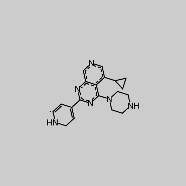 [C]1=CC(c2nc(N3CCNCC3)c3c(C4CC4)cncc3n2)=CCN1